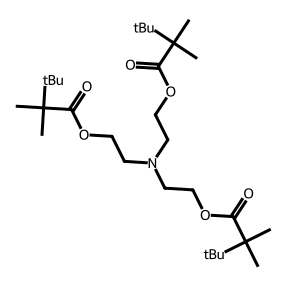 CC(C)(C)C(C)(C)C(=O)OCCN(CCOC(=O)C(C)(C)C(C)(C)C)CCOC(=O)C(C)(C)C(C)(C)C